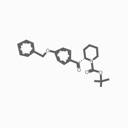 CC(C)(C)OC(=O)N1CCCC[C@H]1C(=O)c1ccc(OCc2ccccc2)cc1